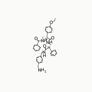 CCOc1ccc([C@@H](CNC(=O)c2ccccc2)C(=O)NC[C@@H](C(=O)NCc2ccc(CN)cc2)c2cccs2)cc1